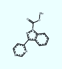 CC(C)(C)OC(=O)n1nc(-c2ccncn2)c2ccccc21